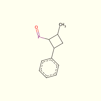 CC1CC(c2ccccc2)C1P=O